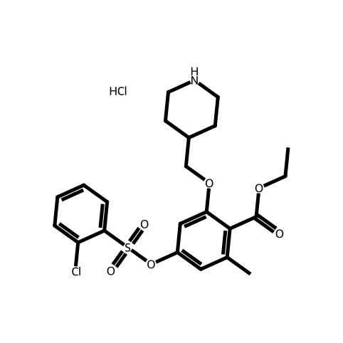 CCOC(=O)c1c(C)cc(OS(=O)(=O)c2ccccc2Cl)cc1OCC1CCNCC1.Cl